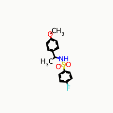 COc1ccc(C(C)NS(=O)(=O)c2ccc(F)cc2)cc1